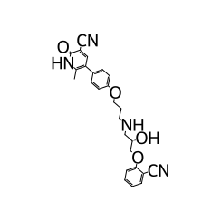 Cc1[nH]c(=O)c(C#N)cc1-c1ccc(OCCCNC[C@H](O)COc2ccccc2C#N)cc1